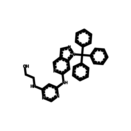 OCCNc1cc(Nc2cc3c(cn2)cnn3C(c2ccccc2)(c2ccccc2)c2ccccc2)ncn1